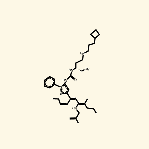 C=C(C)CNC(/C=C(\C=C/CC)c1cc(NC(=O)N[C@@H](CO)CCNCCCC2CCC2)n(-c2ccccc2)n1)=C(/C)CCC